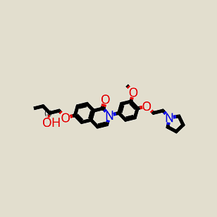 CC[C@H](O)COc1ccc2c(=O)n(-c3ccc(OCCN4CCCC4)c(OC)c3)ccc2c1